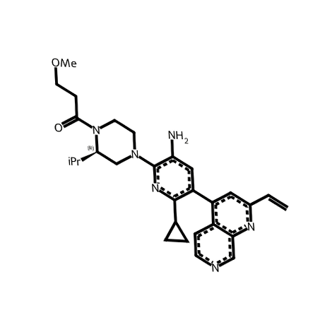 C=Cc1cc(-c2cc(N)c(N3CCN(C(=O)CCOC)[C@H](C(C)C)C3)nc2C2CC2)c2ccncc2n1